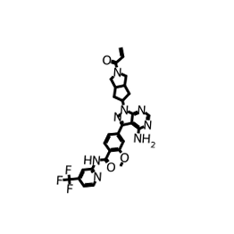 C=CC(=O)N1CC2CC(n3nc(-c4ccc(C(=O)Nc5cc(C(F)(F)F)ccn5)c(OC)c4)c4c(N)ncnc43)CC2C1